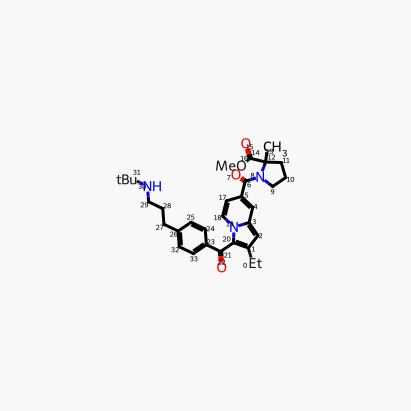 CCc1cc2cc(C(=O)N3CCCC3(C)C(=O)OC)ccn2c1C(=O)c1ccc(CCCNC(C)(C)C)cc1